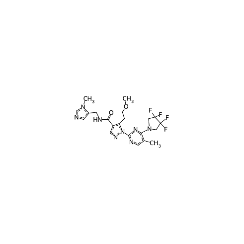 COCCc1c(C(=O)NCc2cncn2C)cnn1-c1ncc(C)c(N2CC(F)(F)C(F)(F)C2)n1